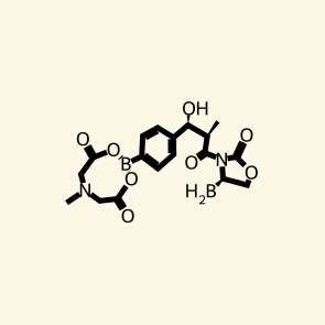 B[C@@H]1COC(=O)N1C(=O)[C@H](C)[C@@H](O)c1ccc(B2OC(=O)CN(C)CC(=O)O2)cc1